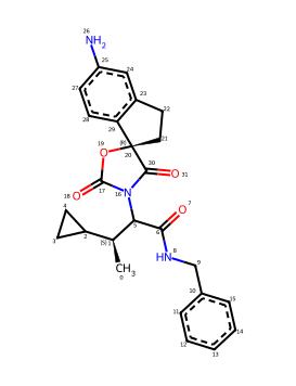 C[C@@H](C1CC1)C(C(=O)NCc1ccccc1)N1C(=O)O[C@@]2(CCc3cc(N)ccc32)C1=O